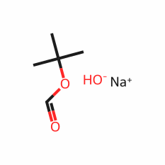 CC(C)(C)OC=O.[Na+].[OH-]